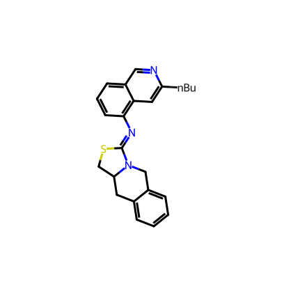 CCCCc1cc2c(N=C3SCC4Cc5ccccc5CN34)cccc2cn1